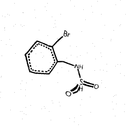 O=[SH](=O)Nc1ccccc1Br